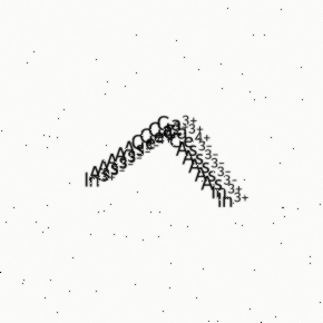 [As-3].[As-3].[As-3].[As-3].[As-3].[As-3].[As-3].[As-3].[As-3].[As-3].[Ga+3].[Ga+3].[Ga+3].[Ge+4].[Ge+4].[Ge+4].[In+3].[In+3].[In+3]